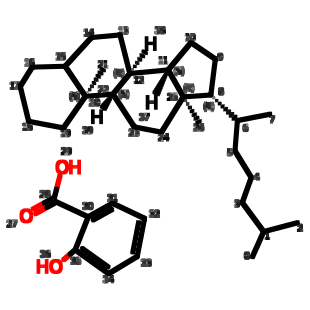 CC(C)CCCC(C)[C@H]1CC[C@H]2[C@@H]3CCC4CCCC[C@]4(C)[C@H]3CC[C@]12C.O=C(O)c1ccccc1O